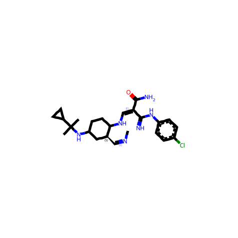 C/N=C\[C@H]1CC(NC(C)(C)C2CC2)CCC1N/C=C(\C(=N)Nc1ccc(Cl)cc1)C(N)=O